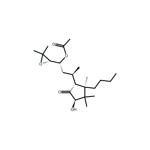 CCCC[C@]1(C)[C@@H]([C@H](C)C[C@@H](OC(C)=O)[C@@H]2OC2(C)C)C(=O)[C@H](O)C1(C)C